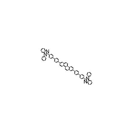 c1ccc(-n2c(-c3ccc(-c4ccc(-c5ccc6c(ccc7c8ccc(-c9ccc(-c%10ccc(-c%11nc%12ccccc%12n%11-c%11ccccc%11)cc%10)cc9)cc8ccc67)c5)cc4)cc3)nc3ccccc32)cc1